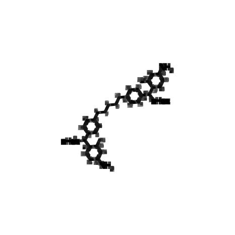 CCCCCCC(c1ccc(CCCCCc2ccc(C(CCCCCC)c3ccc(N)cc3C)cc2)cc1)c1ccc(N)cc1C